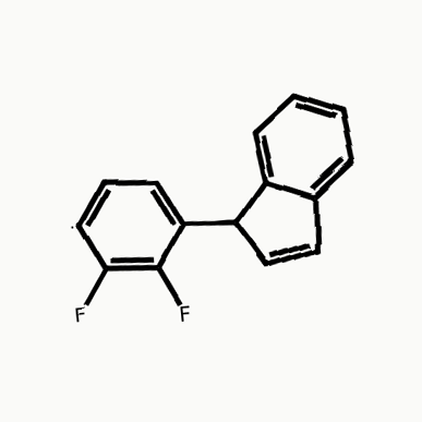 Fc1[c]ccc(C2C=Cc3ccccc32)c1F